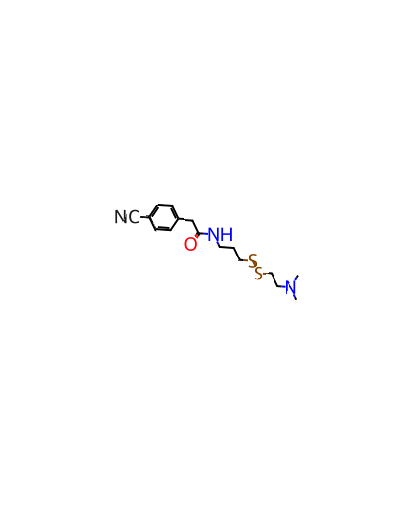 CN(C)CCSSCCCNC(=O)Cc1ccc(C#N)cc1